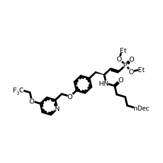 CCCCCCCCCCCCCC(=O)N[C@H](/C=C/P(=O)(OCC)OCC)Cc1ccc(OCc2cc(OCC(F)(F)F)ccn2)cc1